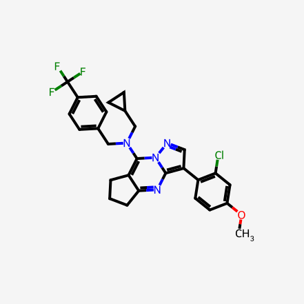 COc1ccc(-c2cnn3c(N(Cc4ccc(C(F)(F)F)cc4)CC4CC4)c4c(nc23)CCC4)c(Cl)c1